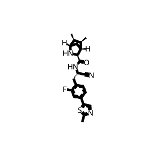 Cc1ncc(-c2ccc(C[C@@H](C#N)NC(=O)[C@H]3N[C@H]4C[C@@H]3[C@H](C)[C@@H]4C)c(F)c2)s1